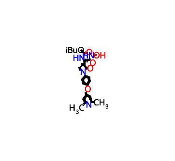 Cc1cc(COc2ccc(N3CC[C@H]([C@H](NC(=O)OCC(C)C)C(=O)NO)C3=O)cc2)cc(C)n1